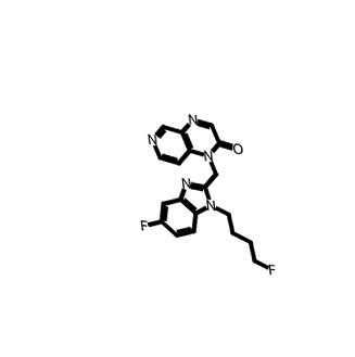 O=c1cnc2cnccc2n1Cc1nc2cc(F)ccc2n1CCCCF